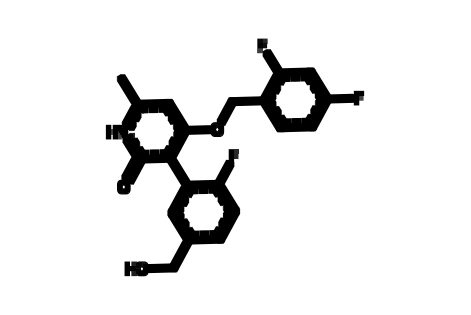 Cc1cc(OCc2ccc(F)cc2F)c(-c2cc(CO)ccc2F)c(=O)[nH]1